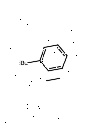 CC.CCC(C)c1ccccc1